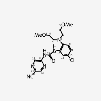 COCCN(CCOC)c1ccc(Cl)cc1NC(=O)Nc1cnc(C#N)cn1